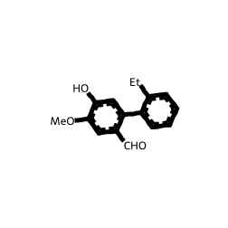 CCc1ccccc1-c1cc(O)c(OC)cc1C=O